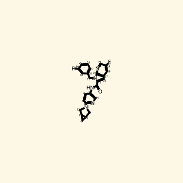 O=C(Nc1ccc(N2CC3CC3C2)nc1)c1cc2cc(F)cnc2n1Cc1cccc(F)c1